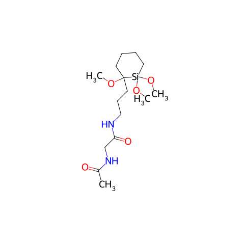 COC1(CCCNC(=O)CNC(C)=O)CCCC[Si]1(OC)OC